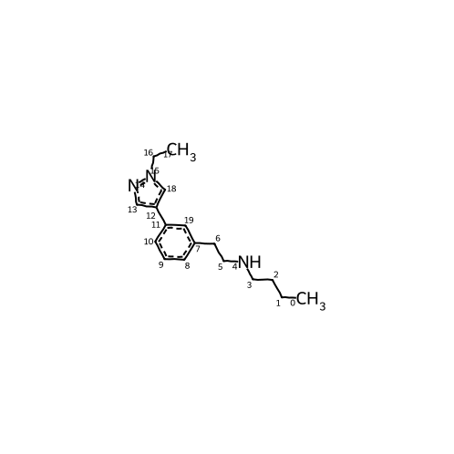 CCCCNCCc1cccc(-c2cnn(CC)c2)c1